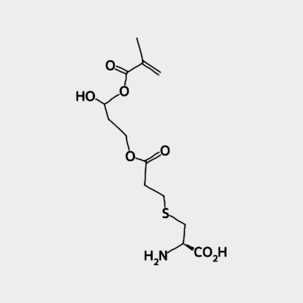 C=C(C)C(=O)OC(O)CCOC(=O)CCSC[C@H](N)C(=O)O